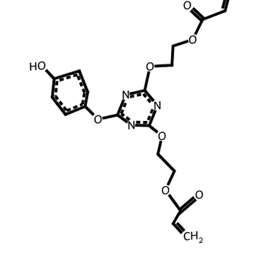 C=CC(=O)OCCOc1nc(OCCOC(=O)C=C)nc(Oc2ccc(O)cc2)n1